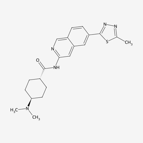 Cc1nnc(-c2ccc3cnc(NC(=O)[C@H]4CC[C@H](N(C)C)CC4)cc3c2)s1